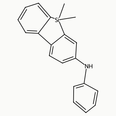 C[Si]1(C)c2ccccc2-c2ccc(Nc3ccccc3)cc21